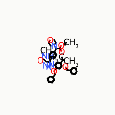 CCNC(=O)c1nnn(-c2cc(C(C)C)c(OCc3ccccc3)cc2OCc2ccccc2)c1-c1ccc(C(C(=O)OCC)N2CCOCC2)cc1